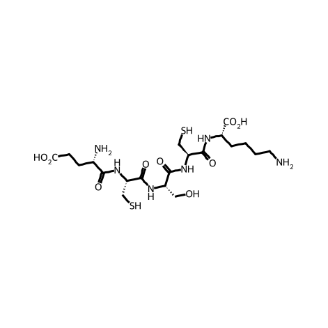 NCCCC[C@H](NC(=O)[C@H](CS)NC(=O)[C@H](CO)NC(=O)[C@H](CS)NC(=O)[C@@H](N)CCC(=O)O)C(=O)O